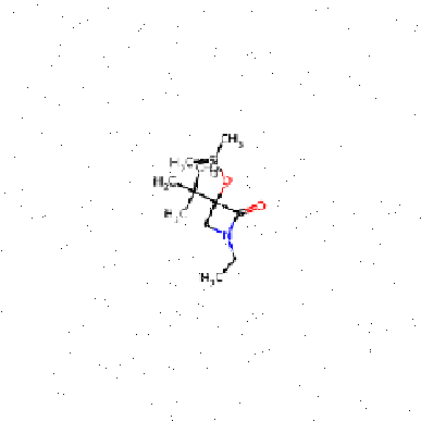 CCN1CC(O[SiH](C)C)(C(C)(C)C)C1=O